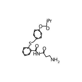 CC(C)C(=O)Oc1ccc(CSc2ccccc2C(=O)NC(=O)CCN)cc1